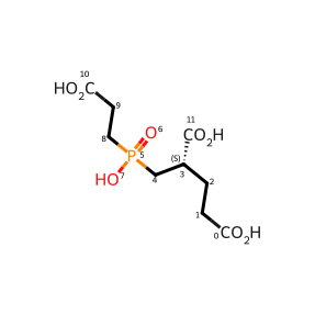 O=C(O)CC[C@H](CP(=O)(O)CCC(=O)O)C(=O)O